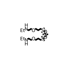 CCNCCOCCC[Si](C)(C)O[Si](C)(C)O[Si](C)(C)CCCOCCNCC